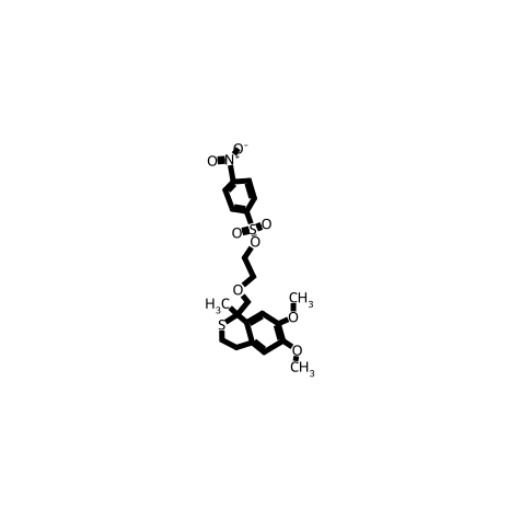 COc1cc2c(cc1OC)C(C)(COCCOS(=O)(=O)c1ccc([N+](=O)[O-])cc1)SCC2